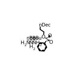 CCCCCCCCCCCCOS(=O)(=O)c1ccccc1.CCCCN.CCCCN.CCCCN